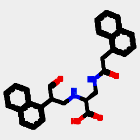 O=CC(CN[C@@H](CNC(=O)Cc1cccc2ccccc12)C(=O)O)c1cccc2ccccc12